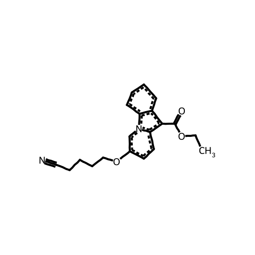 CCOC(=O)c1c2ccccc2n2cc(OCCCCC#N)ccc12